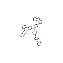 c1ccc2c(c1)ccc1c2oc2cccc(-c3ccc(N(c4ccc(-c5ccc6c(c5)sc5ccccc56)cc4)c4ccc(-c5cccc6oc7ccccc7c56)cc4)cc3)c21